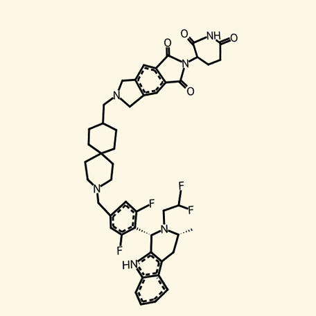 C[C@@H]1Cc2c([nH]c3ccccc23)[C@H](c2c(F)cc(CN3CCC4(CCC(CN5Cc6cc7c(cc6C5)C(=O)N(C5CCC(=O)NC5=O)C7=O)CC4)CC3)cc2F)N1CC(F)F